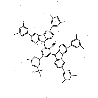 Cc1cc(C)cc(-c2ccc3c(c2)c2cc(-c4cc(C)cc(C)c4)ccc2n3-c2cc(-c3cc(C)cc(C(F)(F)F)c3)cc(-n3c4ccc(-c5cc(C)cc(C)c5)cc4c4cc(-c5cc(C)cc(C)c5)ccc43)c2C#N)c1